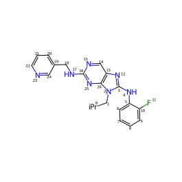 CC(C)Cn1c(Nc2ccccc2F)nc2cnc(NCc3cccnc3)nc21